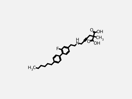 CCCCCCc1ccc(-c2ccc(CCNCC#CCC(C)(C(=O)O)C(=O)O)cc2F)cc1